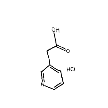 Cl.O=C(O)Cc1cccnc1